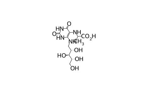 CC(Nc1c(NC[C@H](O)[C@H](O)[C@H](O)CO)[nH]c(=O)[nH]c1=O)C(=O)O